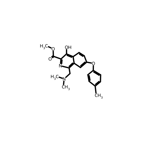 COC(=O)c1nc(CN(C)C)c2cc(Oc3ccc(C)cc3)ccc2c1O